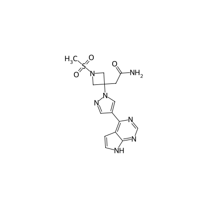 CS(=O)(=O)N1CC(CC(N)=O)(n2cc(-c3ncnc4[nH]ccc34)cn2)C1